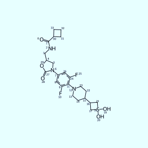 O=C(NCC1CN(c2cc(F)c(N3CCC(C4CS(O)(O)C4)CC3)c(F)c2)C(=O)O1)C1CCC1